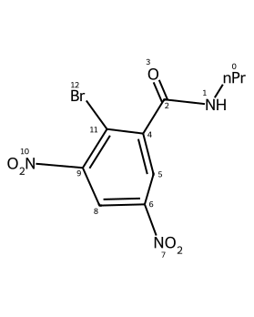 CCCNC(=O)c1cc([N+](=O)[O-])cc([N+](=O)[O-])c1Br